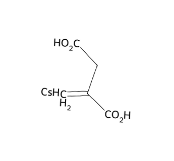 C=C(CC(=O)O)C(=O)O.[CsH]